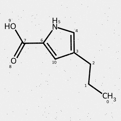 CCCc1c[nH]c(C(=O)O)c1